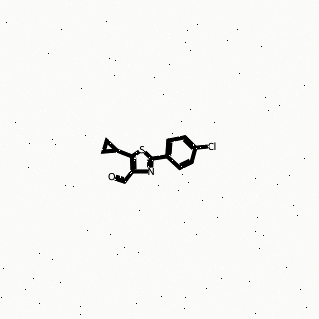 O=Cc1nc(-c2ccc(Cl)cc2)sc1C1CC1